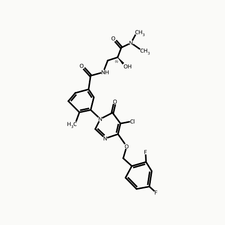 Cc1ccc(C(=O)NC[C@H](O)C(=O)N(C)C)cc1-n1cnc(OCc2ccc(F)cc2F)c(Cl)c1=O